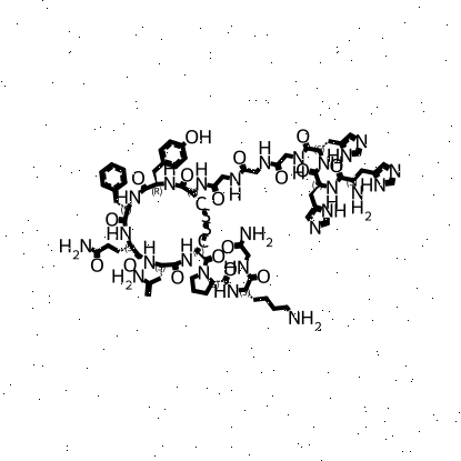 C=C(N)C[C@@H]1NC(=O)[C@H](CCC(N)=O)NC(=O)[C@H](Cc2ccccc2)NC(=O)[C@@H](Cc2ccc(O)cc2)NC(=O)[C@@H](NC(=O)CNC(=O)CNC(=O)CNC(=O)[C@H](Cc2cnc[nH]2)NC(=O)[C@H](Cc2cnc[nH]2)NC(=O)[C@@H](N)Cc2cnc[nH]2)CSSC[C@@H](C(=O)N2CCC[C@H]2C(=O)N[C@@H](CCCCN)C(=O)NCC(N)=O)NC1=O